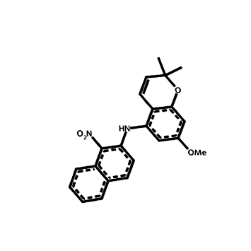 COc1cc(Nc2ccc3ccccc3c2[N+](=O)[O-])c2c(c1)OC(C)(C)C=C2